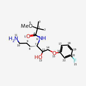 COC(C)(C)C(=O)N[C@@H](CCCN)C(O)COc1cccc(F)c1